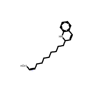 [CH2]CCCCCCC/C=C\CCCCCCCCC1C=Cc2ccccc2N1